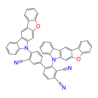 N#Cc1cc(-c2ccc(C#N)c(C#N)c2-n2c3ccccc3c3cc4c(cc32)oc2ccccc24)ccc1-n1c2ccccc2c2cc3c(cc21)oc1ccccc13